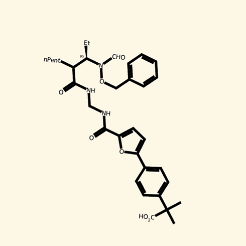 CCCCCC(C(=O)NCNC(=O)c1ccc(-c2ccc(C(C)(C)C(=O)O)cc2)o1)[C@@H](CC)N(C=O)OCc1ccccc1